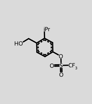 CC(C)c1cc(OS(=O)(=O)C(F)(F)F)ccc1CO